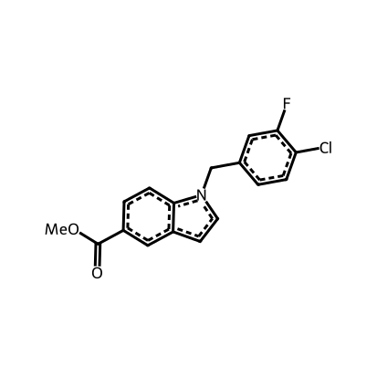 COC(=O)c1ccc2c(ccn2Cc2ccc(Cl)c(F)c2)c1